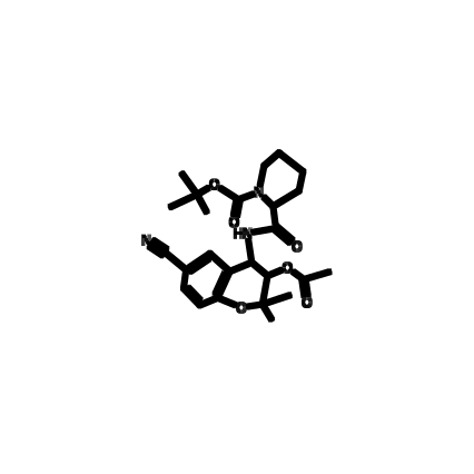 CC(=O)OC1C(NC(=O)C2CCCCN2C(=O)OC(C)(C)C)c2cc(C#N)ccc2OC1(C)C